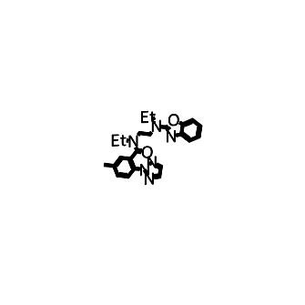 CCN(CCN(CC)c1nc2ccccc2o1)C(=O)c1cc(C)ccc1-n1nccn1